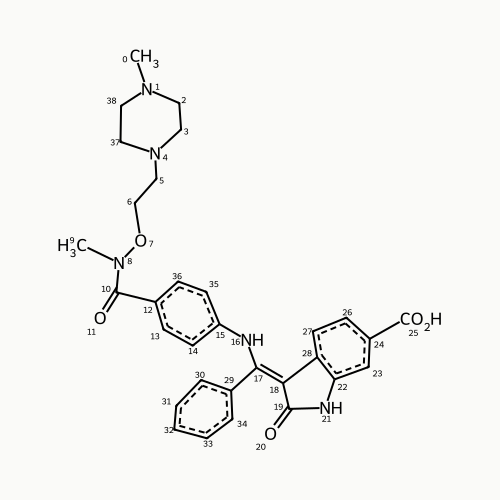 CN1CCN(CCON(C)C(=O)c2ccc(N/C(=C3/C(=O)Nc4cc(C(=O)O)ccc43)c3ccccc3)cc2)CC1